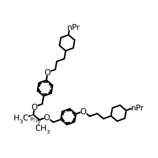 CCCC1CCC(CCCOc2ccc(CO[C@H](C)[C@@H](C)OCc3ccc(OCCCC4CCC(CCC)CC4)cc3)cc2)CC1